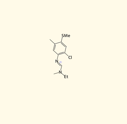 CCN(C)/C=N/c1cc(C)c(SC)cc1Cl